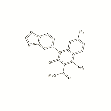 COC(=O)c1c(N)c2ccc(C(F)(F)F)cc2n(-c2ccc3ocnc3c2)c1=O